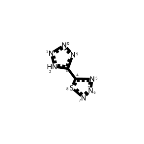 n1n[nH]c(-c2nnns2)n1